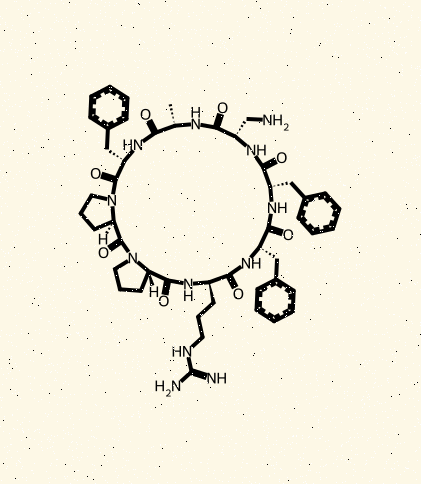 C[C@@H]1NC(=O)[C@H](CN)NC(=O)[C@H](Cc2ccccc2)NC(=O)[C@H](Cc2ccccc2)NC(=O)[C@@H](CCCNC(=N)N)NC(=O)[C@@H]2CCCN2C(=O)[C@H]2CCCN2C(=O)[C@H](Cc2ccccc2)NC1=O